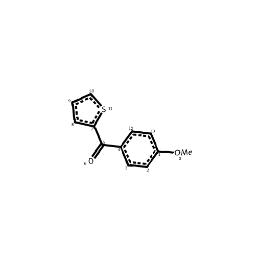 COc1ccc(C(=O)c2cccs2)cc1